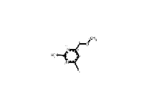 COCc1cc(I)nc(N)n1